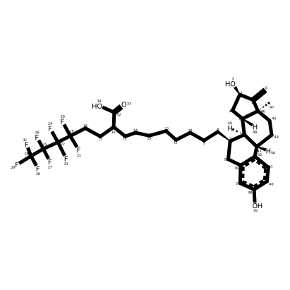 C=C1[C@H](O)C[C@H]2[C@@H]3[C@H](CCCCCCCCC(CCC(F)(F)C(F)(F)C(F)(F)C(F)(F)F)C(=O)O)Cc4cc(O)ccc4[C@H]3CC[C@]12C